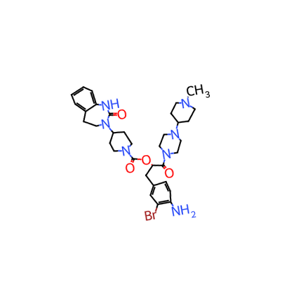 CN1CCC(N2CCN(C(=O)C(Cc3ccc(N)c(Br)c3)OC(=O)N3CCC(N4CCc5ccccc5NC4=O)CC3)CC2)CC1